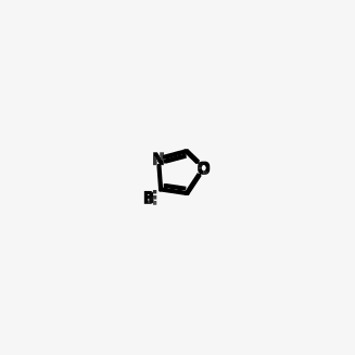 [B].c1cocn1